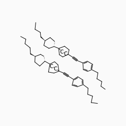 CCCCCc1ccc(C#CC23CCC([C@H]4CC[C@H](CCCC)CC4)(CC2)CC3)cc1.CCCCCc1ccc(C#CC23CCC([C@H]4CC[C@H](CCCCC)CC4)(CC2)CC3)cc1